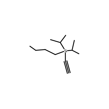 C#C[Si](CCCC)(C(C)C)C(C)C